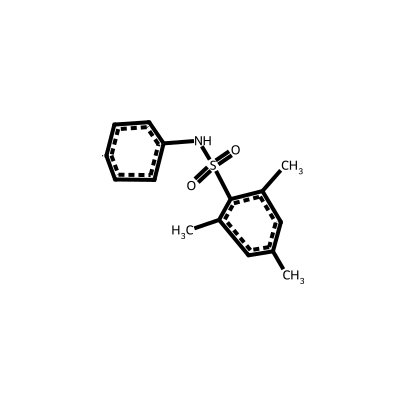 Cc1cc(C)c(S(=O)(=O)Nc2cc[c]cc2)c(C)c1